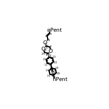 CCCCCC=CCO[C@@H]1CO[C@@H](c2ccc(C34CCC(CCCCC)(CC3)CC4)cc2)CO1